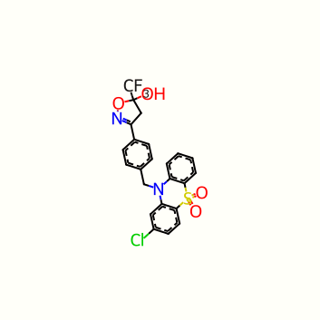 O=S1(=O)c2ccccc2N(Cc2ccc(C3=NOC(O)(C(F)(F)F)C3)cc2)c2cc(Cl)ccc21